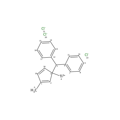 CC1=C[C]([Ti+3])(C(c2ccccc2)c2ccccc2)C=C1.[Cl-].[Cl-].[Cl-]